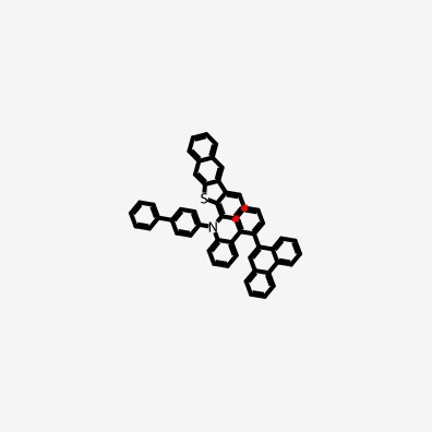 c1ccc(-c2ccc(N(c3ccccc3-c3ccccc3-c3cc4ccccc4c4ccccc34)c3cccc4c3sc3cc5ccccc5cc34)cc2)cc1